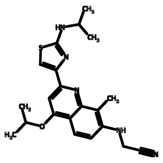 Cc1c(NCC#N)ccc2c(OC(C)C)cc(-c3csc(NC(C)C)n3)nc12